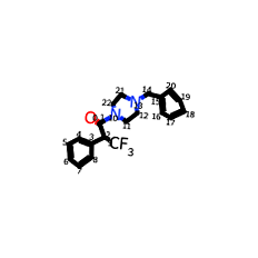 O=C(C(c1ccccc1)C(F)(F)F)N1CCN(Cc2ccccc2)CC1